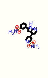 NS(=O)(=O)c1cccc(-c2cc3c(-c4ccnc(S(N)(=O)=O)c4)ccnc3[nH]2)c1